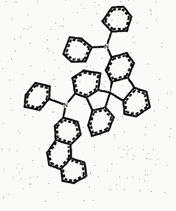 c1ccc(N(c2ccccc2)c2ccc3c(c2)[C@@]2(c4ccccc4-3)c3ccccc3-c3c(N(c4ccccc4)c4ccc5c(ccc6ccccc65)c4)cccc32)cc1